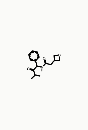 CC(C)C(=O)C(NC(=O)CC1COC1)c1ccccc1